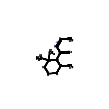 C/C=C\C(=O)C1C(C)CCCC1(C)C